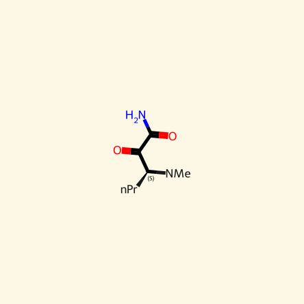 CCC[C@H](NC)C(=O)C(N)=O